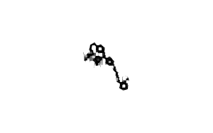 COC(=O)CN1CCCc2ccc(OC(c3ccc(OCCCOCc4ccccc4OC)cc3)[C@H]3CNCC(=O)N3)cc21